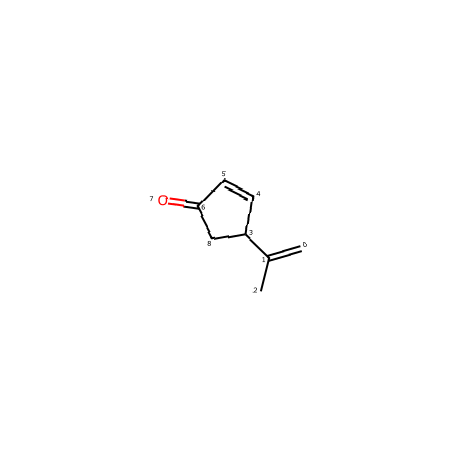 C=C(C)C1C=CC(=O)C1